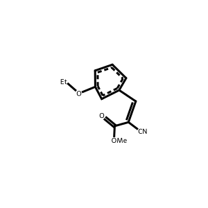 CCOc1cccc(C=C(C#N)C(=O)OC)c1